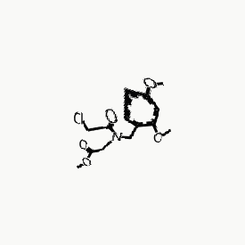 COC(=O)CN(Cc1ccc(OC)cc1OC)C(=O)CCl